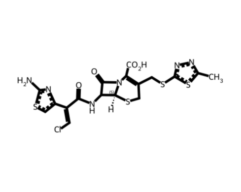 Cc1nnc(SCC2=C(C(=O)O)N3C(=O)C(NC(=O)C(=CCl)c4csc(N)n4)[C@@H]3SC2)s1